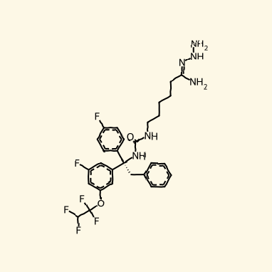 NN/N=C(\N)CCCCCNC(=O)N[C@](Cc1ccccc1)(c1ccc(F)cc1)c1cc(F)cc(OC(F)(F)C(F)F)c1